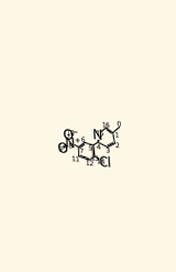 Cc1ccc(-c2cc([N+](=O)[O-])ccc2Cl)nc1